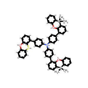 C[Si]1(C)c2ccccc2Oc2c(-c3ccc(N(c4ccc(-c5cccc6c5Oc5ccccc5[Si]6(C)C)cc4)c4ccc(-c5cccc6c5Sc5ccccc5O6)cc4)cc3)cccc21